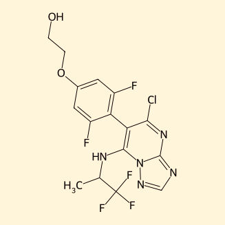 CC(Nc1c(-c2c(F)cc(OCCO)cc2F)c(Cl)nc2ncnn12)C(F)(F)F